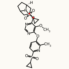 COc1c(Oc2ccc(S(=O)(=O)C3CC3)nc2C)ncnc1O[C@H]1CC2CC[C@@H](C1)N2S(=O)(=O)C1CC1